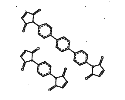 O=C1C=CC(=O)N1c1ccc(-c2ccc(-c3ccc(N4C(=O)C=CC4=O)cc3)cc2)cc1.O=C1C=CC(=O)N1c1ccc(N2C(=O)C=CC2=O)cc1